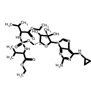 CCOC(=O)C(NP(=O)(NC(C(=O)OCC)C(C)C)OC[C@H]1OC(n2cnc3c(NC4CC4)nc(N)nc32)[C@@](C)(O)C1O)C(C)C